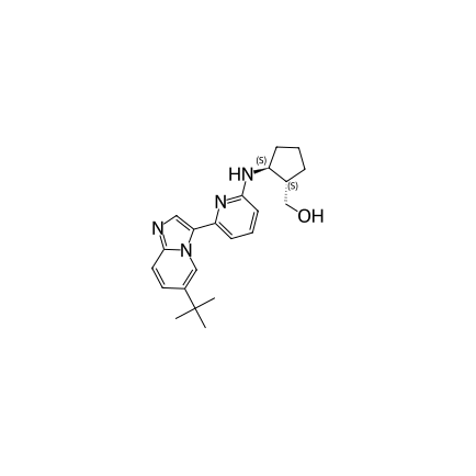 CC(C)(C)c1ccc2ncc(-c3cccc(N[C@H]4CCC[C@@H]4CO)n3)n2c1